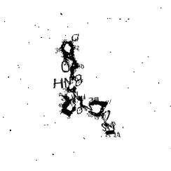 O=C(N[C@@H](Cc1ccccn1)C(=O)NCC(=O)N1CCC(Oc2nccs2)CC1)c1cc2cc(Cl)ccc2o1